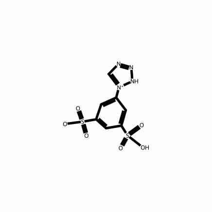 O=S(=O)([O-])c1cc(-[n+]2cnn[nH]2)cc(S(=O)(=O)O)c1